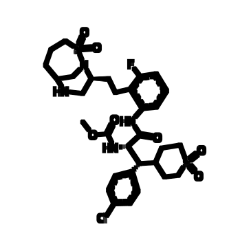 COC(=O)N[C@H](C(=O)Nc1cccc(F)c1CC[C@H]1CNC2CCCS(=O)(=O)N1C2)[C@@H](c1ccc(Cl)cc1)C1CCS(=O)(=O)CC1